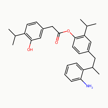 CC(C)c1ccc(CC(=O)Oc2ccc(CC(C)c3ccccc3N)cc2C(C)C)cc1O